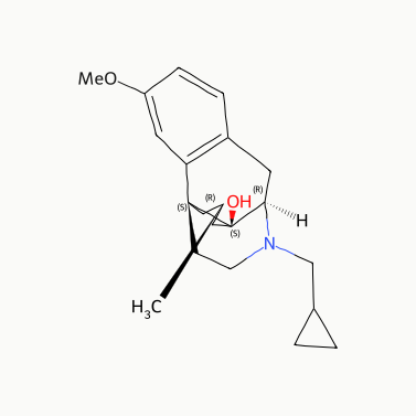 COc1ccc2c(c1)[C@]13CCN(CC4CC4)[C@H](C2)[C@]1(O)C[C@H](C)C3